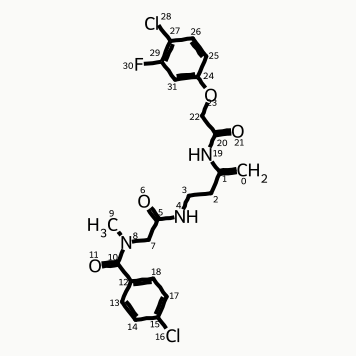 C=C(CCNC(=O)CN(C)C(=O)c1ccc(Cl)cc1)NC(=O)COc1ccc(Cl)c(F)c1